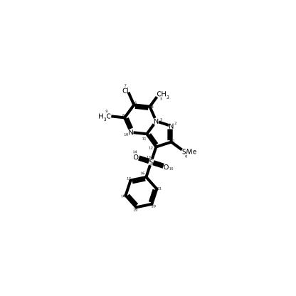 CSc1nn2c(C)c(Cl)c(C)nc2c1S(=O)(=O)c1ccccc1